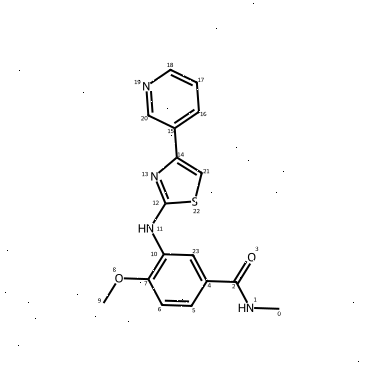 CNC(=O)c1ccc(OC)c(Nc2nc(-c3cccnc3)cs2)c1